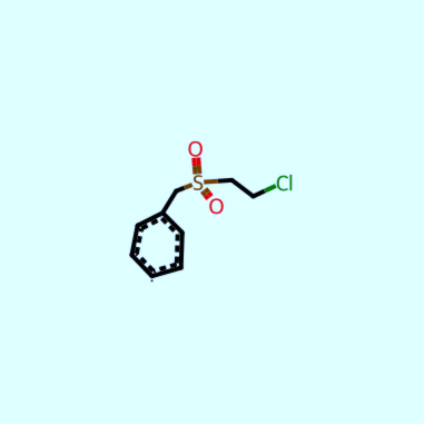 O=S(=O)(CCCl)Cc1cc[c]cc1